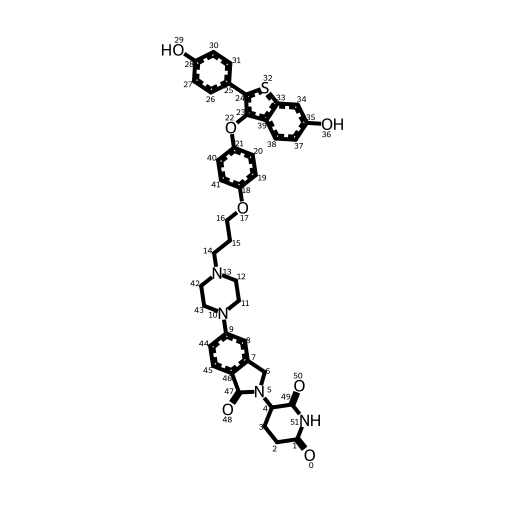 O=C1CCC(N2Cc3cc(N4CCN(CCCOc5ccc(Oc6c(-c7ccc(O)cc7)sc7cc(O)ccc67)cc5)CC4)ccc3C2=O)C(=O)N1